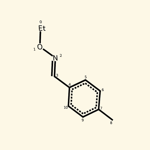 CCON=Cc1ccc(C)cc1